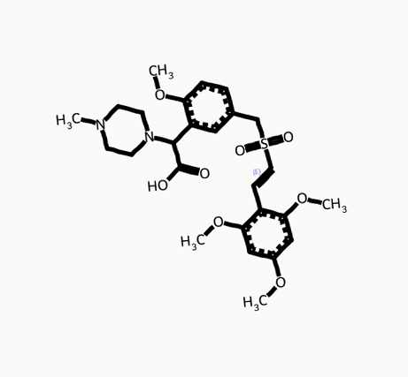 COc1cc(OC)c(/C=C/S(=O)(=O)Cc2ccc(OC)c(C(C(=O)O)N3CCN(C)CC3)c2)c(OC)c1